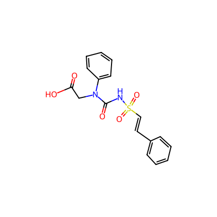 O=C(O)CN(C(=O)NS(=O)(=O)C=Cc1ccccc1)c1ccccc1